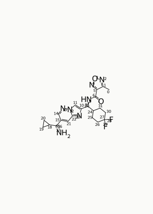 Cc1nonc1C(=O)N[C@H](c1cn2ncc([C@H](N)C3CC3)cc2n1)C1CCC(F)(F)CC1